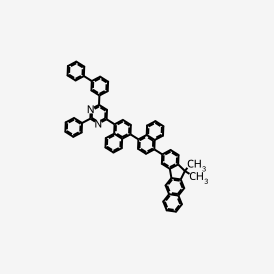 CC1(C)c2ccc(-c3ccc(-c4ccc(-c5cc(-c6cccc(-c7ccccc7)c6)nc(-c6ccccc6)n5)c5ccccc45)c4ccccc34)cc2-c2cc3ccccc3cc21